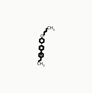 CC/C=C/CO[C@H]1CC[C@H](c2ccc(C34CCC(CCC)(CC3)CC4)cc2)CC1